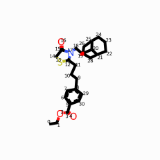 CCOC(=O)c1ccc(CCCC2SCC(=O)N2CCC2C3CCCC2CCC3)cc1